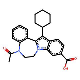 CC(=O)N1CCn2c(c(C3CCCCC3)c3ccc(C(=O)O)cc32)-c2ccccc21